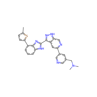 Cc1ccc(-c2cccc3[nH]c(-c4n[nH]c5cnc(-c6cncc(CN(C)C)c6)cc45)nc23)s1